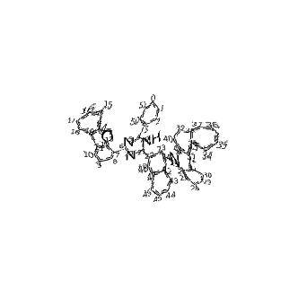 c1ccc(C2=NC(c3cccc4c3oc3ccccc34)=NC(c3cc(-n4c5ccccc5c5c6ccccc6ccc54)c4ccccc4c3)N2)cc1